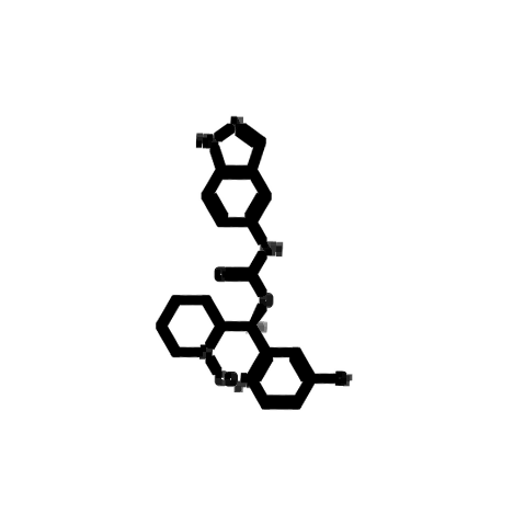 O=C(Nc1ccc2[nH]ncc2c1)O[C@@H](c1cccc(Br)c1)C1CCCCN1C(=O)O